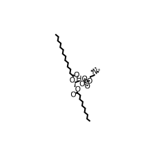 CCCCCCCCCCCCCC(=O)O[C@H](COC(=O)CCCCCCCCC)COP(=O)(O)OCC[N+](C)(C)C